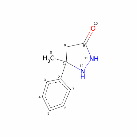 CC1(c2ccccc2)CC(=O)NN1